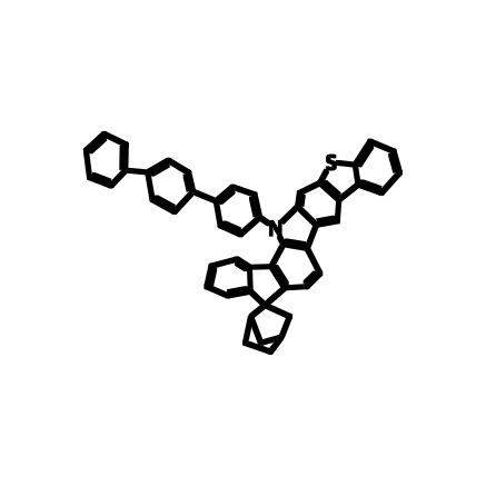 c1ccc(-c2ccc(-c3ccc(-n4c5cc6sc7ccccc7c6cc5c5ccc6c(c54)-c4ccccc4C64CC5CCC4C5)cc3)cc2)cc1